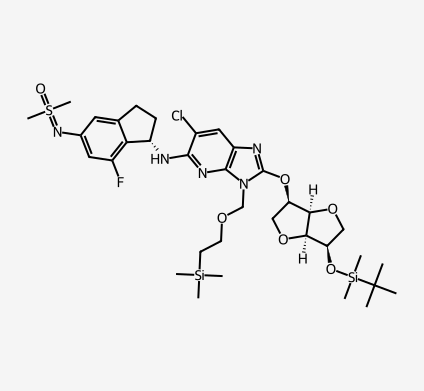 CC(C)(C)[Si](C)(C)O[C@@H]1CO[C@H]2[C@@H]1OC[C@H]2Oc1nc2cc(Cl)c(N[C@H]3CCc4cc(N=S(C)(C)=O)cc(F)c43)nc2n1COCC[Si](C)(C)C